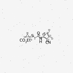 CCOC(=O)C1(SCC(=O)Nc2sc(C)c(C)c2C#N)CC1